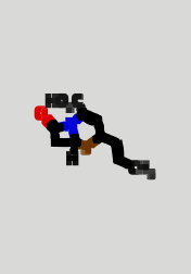 CC=CC1C=C(C(=O)O)N2C(=O)C[C@H]2S1